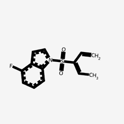 C=C/C(=C\C)S(=O)(=O)n1ccc2c(F)cccc21